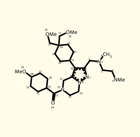 CNCCN(C)Cc1nn2c(c1C1CCC(COC)(COC)CC1)CN(C(=O)C1CCC(OC)CC1)CC2